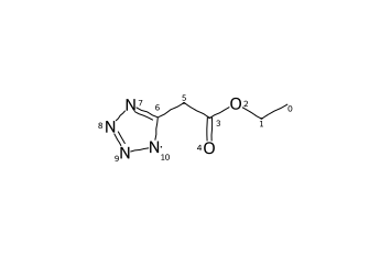 CCOC(=O)CC1=NN=N[N]1